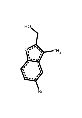 Cc1c(CO)oc2ccc(Br)cc12